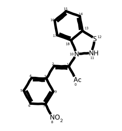 CC(=O)C(=Cc1cccc([N+](=O)[O-])c1)N1NSc2ccccc21